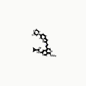 CNc1ncc(/C=C/c2cc3ccc(N4CCO[C@@H](C)C4)cn3n2)c2cc(NC(=O)C3CC3)ncc12